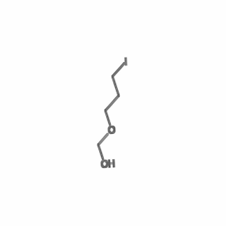 OCOCCCI